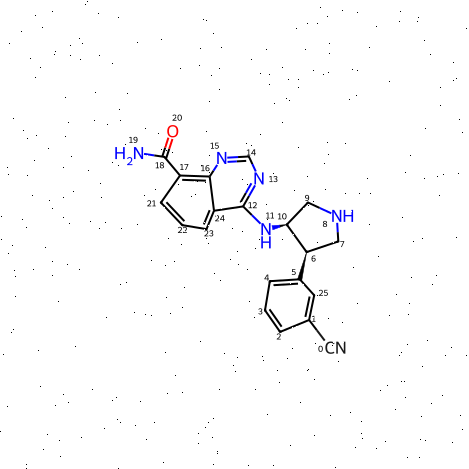 N#Cc1cccc([C@@H]2CNC[C@@H]2Nc2ncnc3c(C(N)=O)cccc23)c1